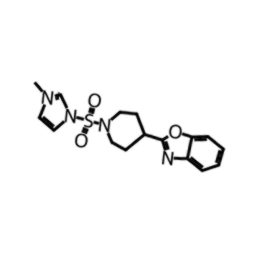 C[n+]1ccn(S(=O)(=O)N2CCC(c3nc4ccccc4o3)CC2)c1